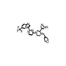 FC(F)(F)c1ccc2ncc(-c3nccc(N4CCN(CC5C6COCC65)C(c5cn[nH]c5)C4)n3)n2c1